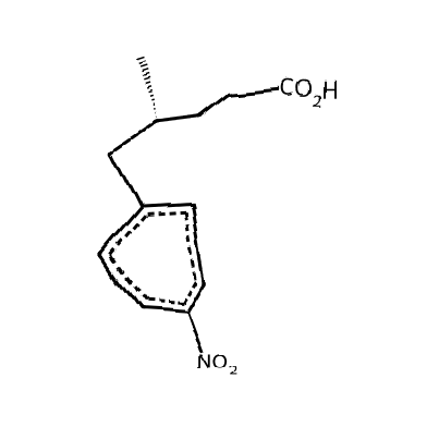 C[C@H](CCC(=O)O)Cc1ccc([N+](=O)[O-])cc1